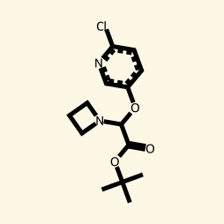 CC(C)(C)OC(=O)C(Oc1ccc(Cl)nc1)N1CCC1